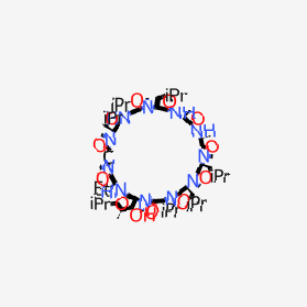 CC[C@@H]1NC(=O)[C@H]([C@H](O)[C@H](C)CC(C)C)N(C)C(=O)[C@H](C(C)C)N(C)C(=O)[C@H](CC(C)C)N(C)C(=O)[C@H](CC(C)C)N(C)C(=O)[C@@H](C)NC(=O)[C@H](C)NC(=O)C(CC(C)C)N(C)C(=O)[C@H](C(C)C)NC(=O)[C@H](CC(C)C)N(C)C(=O)CN(C)C1=O